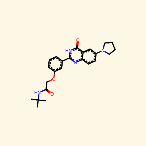 CC(C)(C)NC(=O)COc1cccc(-c2nc3ccc(N4CCCC4)cc3c(=O)[nH]2)c1